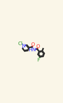 Cc1ccc(F)cc1C(=O)NC(=O)C1=CN(Cl)CC=C1